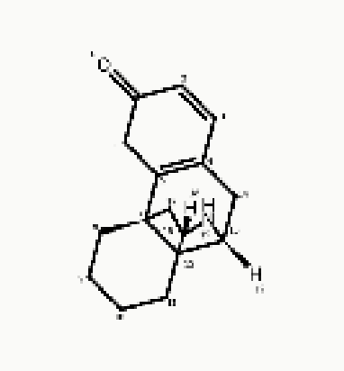 O=C1C=CC2=C(C1)[C@@]13CCCC[C@H]1[C@@H](C2)NCC3